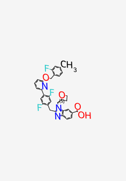 Cc1ccc(COc2cccc(-c3cc(F)c(Cc4nc5ccc(C(=O)O)cc5n4C[C@@H]4CCO4)cc3F)n2)c(F)c1